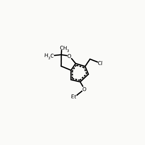 CCOc1cc(CCl)c2c(c1)CC(C)(C)O2